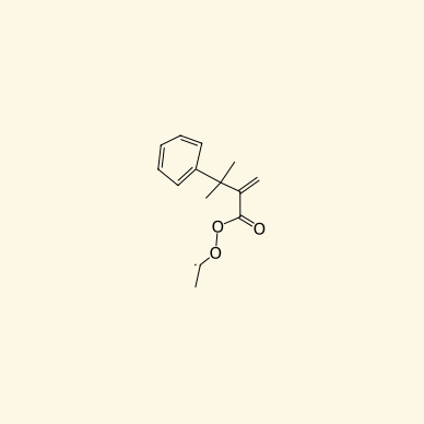 C=C(C(=O)OO[CH]C)C(C)(C)c1ccccc1